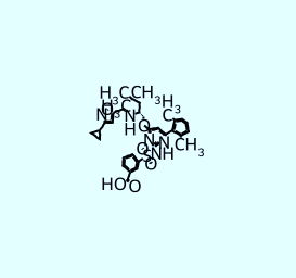 Cc1cccc(C)c1-c1cc(OC[C@@H](CC(C)(C)C)NCc2cc(C3CC3)no2)nc(NS(=O)(=O)c2cccc(C(=O)O)c2)n1